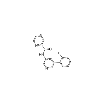 O=C(Nc1cncc(-c2ccccc2F)c1)c1cnccn1